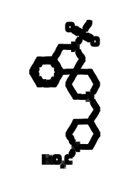 CCOC(=O)N1CCC(CN2CCC3(CC2)CN(S(C)(=O)=O)Cc2ccccc23)CC1